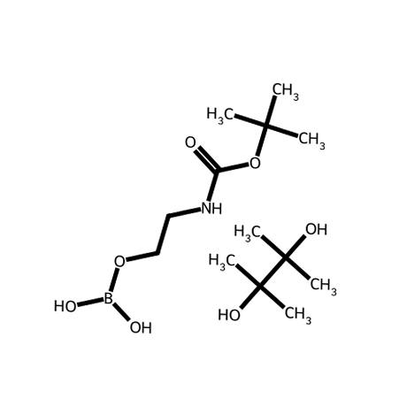 CC(C)(C)OC(=O)NCCOB(O)O.CC(C)(O)C(C)(C)O